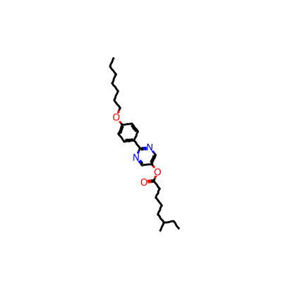 CCCCCCCOc1ccc(-c2ncc(OC(=O)CCCCC(C)CC)cn2)cc1